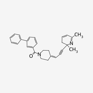 CC1=NC(C)(C#CC=C2CCN(C(=O)c3cccc(-c4ccccc4)c3)CC2)CC=C1